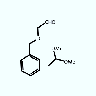 COC(C)OC.O=CCOCc1ccccc1